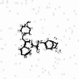 CC[C@H]1C[C@]2(C)CC(NC(=O)c3nc(CN4CCN(C)CC4)c4ccccn34)=CC1C2